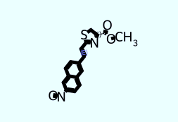 COC(=O)[C@H]1CSC(/C=C/c2ccc3cc(N=O)ccc3c2)=N1